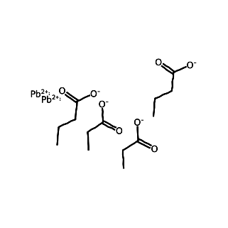 CCC(=O)[O-].CCC(=O)[O-].CCCC(=O)[O-].CCCC(=O)[O-].[Pb+2].[Pb+2]